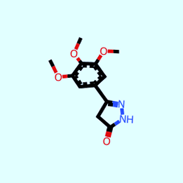 COc1cc(C2=NNC(=O)C2)cc(OC)c1OC